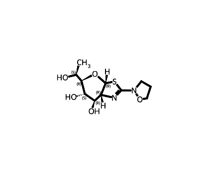 C[C@H](O)[C@H]1O[C@@H]2SC(N3CCCO3)=N[C@@H]2[C@@H](O)[C@@H]1O